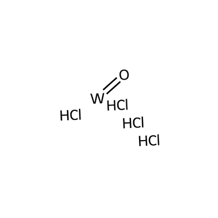 Cl.Cl.Cl.Cl.[O]=[W]